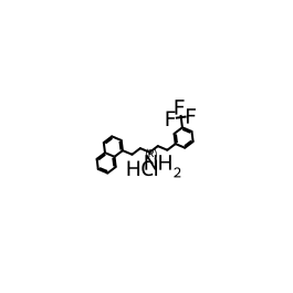 Cl.N[C@H](CCc1cccc(C(F)(F)F)c1)CCc1cccc2ccccc12